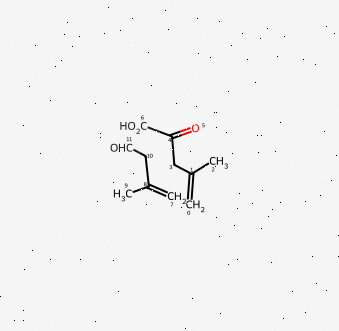 C=C(C)CC(=O)C(=O)O.C=C(C)CC=O